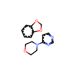 [CH]1Oc2ccccc2O1.[c]1cncnc1N1CCOCC1